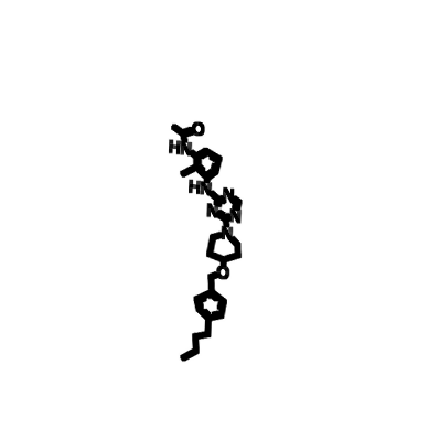 CCCCc1ccc(COC2CCN(c3ncnc(Nc4cccc(NC(C)=O)c4C)n3)CC2)cc1